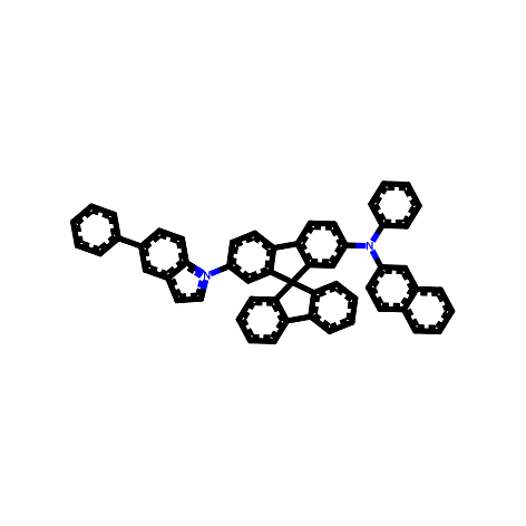 c1ccc(-c2ccc3c(ccn3-c3ccc4c(c3)C3(c5ccccc5-c5ccccc53)c3cc(N(c5ccccc5)c5ccc6ccccc6c5)ccc3-4)c2)cc1